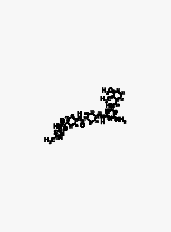 Cc1nnc(NS(=O)(=O)c2ccc(NC(=O)[C@H]3CC[C@H](CNc4nc(N)nc(NCc5cccc(C)c5C)n4)CC3)cc2)s1